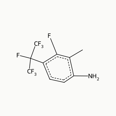 Cc1c(N)ccc(C(F)(C(F)(F)F)C(F)(F)F)c1F